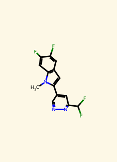 Cn1c(-c2cnnc(C(F)F)c2)cc2cc(F)c(F)cc21